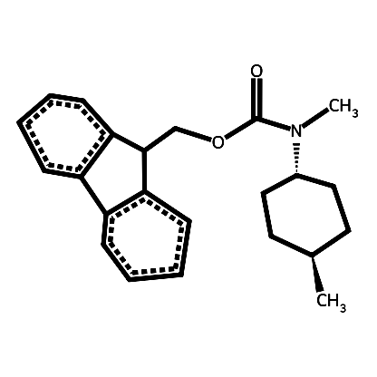 CN(C(=O)OCC1c2ccccc2-c2ccccc21)[C@H]1CC[C@H](C)CC1